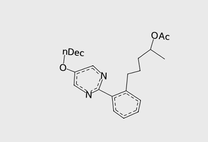 CCCCCCCCCCOc1cnc(-c2ccccc2CCCC(C)OC(C)=O)nc1